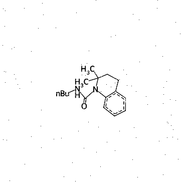 CCCCNC(=O)N1c2ccccc2CCC1(C)C